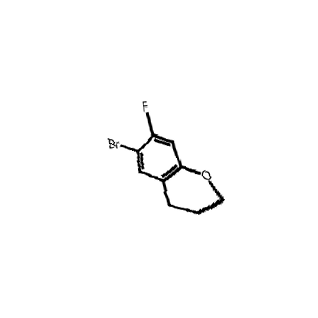 Fc1cc2c(cc1Br)CCCO2